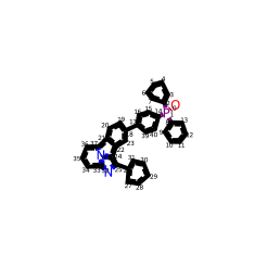 O=P(c1ccccc1)(c1ccccc1)c1ccc(-c2ccc3c(c2)c2c(-c4ccccc4)nc4cccc3n42)cc1